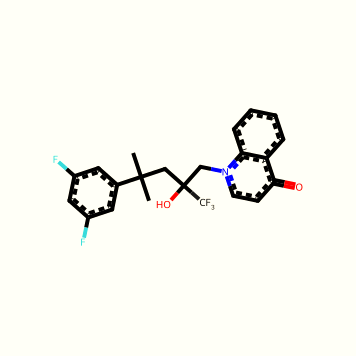 CC(C)(CC(O)(Cn1ccc(=O)c2ccccc21)C(F)(F)F)c1cc(F)cc(F)c1